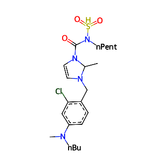 CCCCCN(C(=O)N1C=CN(Cc2ccc(N(C)CCCC)cc2Cl)C1C)[SH](=O)=O